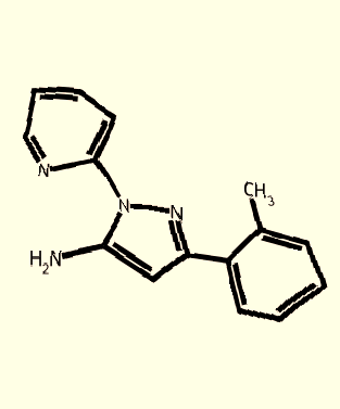 Cc1ccccc1-c1cc(N)n(-c2ccccn2)n1